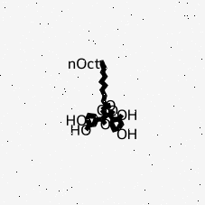 CCCCCCCC/C=C\CCCCCCCC(=O)Oc1c(-c2ccc(O)c(O)c2)oc2cc(O)cc(O)c2c1=O